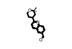 C[C@H]1CC(c2ccc3cc(C=O)ccc3n2)CCO1